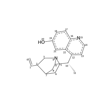 C=CC1CN2CCC1CC2[C@@H](C)c1ccnc2ccc(O)cc12